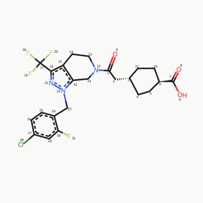 O=C(C[C@H]1CC[C@H](C(=O)O)CC1)N1CCc2c(C(F)(F)F)nn(Cc3ccc(Cl)cc3F)c2C1